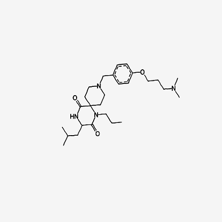 CCCN1C(=O)C(CC(C)C)NC(=O)C12CCN(Cc1ccc(OCCCN(C)C)cc1)CC2